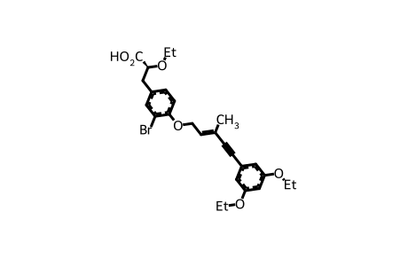 CCOc1cc(C#CC(C)=CCOc2ccc(C[C@H](OCC)C(=O)O)cc2Br)cc(OCC)c1